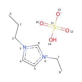 CCCn1cc[n+](CC)c1.O=S(=O)([O-])O